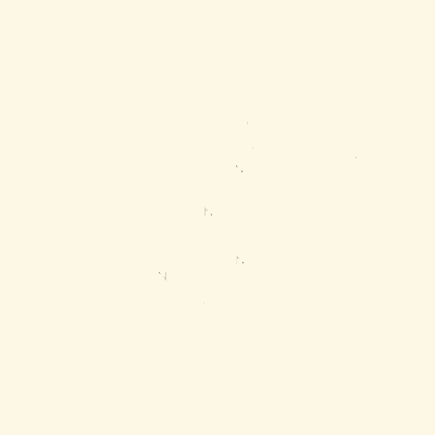 N#Cc1c(N2CCN(C(=O)c3ccc(Cl)cc3)CC2)c2ccccc2n(Cc2ccccc2)c1=O